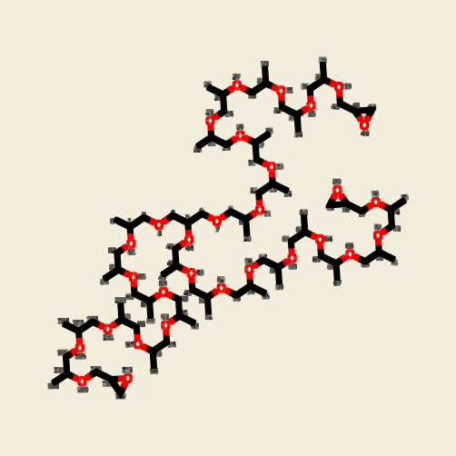 CC(COCC(COCC(C)OCC(C)OCC(C)OCC(C)OCC(C)OCC(C)OCC(C)OCC(C)OCC1CO1)OCC(C)OCC(C)OCC(C)OCC(C)OCC(C)OCC(C)OCC(C)OCC(C)OCC1CO1)OCC(C)OCC(C)OCC(C)OCC(C)OCC(C)OCC(C)OCC(C)OCC1CO1